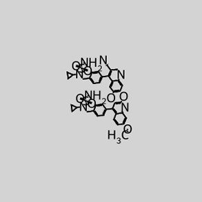 COc1ccc2c(-c3ccc(CN(C4CC4)S(N)(=O)=O)cc3)c3c(nc2c1)Oc1cc2ncc(C#N)c(-c4ccc(CN(C5CC5)S(N)(=O)=O)cc4)c2cc1O3